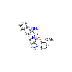 COc1cccc(-n2nccc2C(=O)N2CCC3(CC2)Cc2ccccc2[C@H]3N)c1